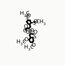 COSc1cc(SOC)c2cc(S(=O)(=O)c3cc4c(OC)cc(OC)cc4sc3=O)c(=O)oc2c1